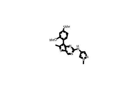 COc1cc(SC)ccc1-c1c(C)sc2cnc(Nc3cnn(C)c3)nc12